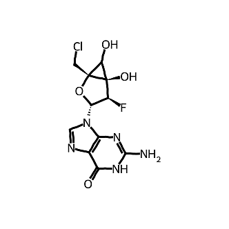 Nc1nc2c(ncn2[C@@H]2O[C@]3(CCl)C(O)[C@]3(O)[C@H]2F)c(=O)[nH]1